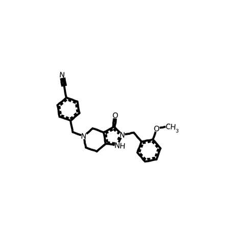 COc1ccccc1Cn1[nH]c2c(c1=O)CN(Cc1ccc(C#N)cc1)CC2